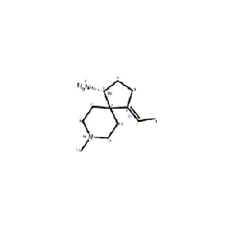 C/C=C1\CC[C@@H](N)C12CCN(C)CC2